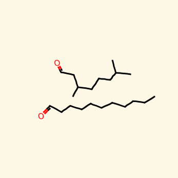 CC(C)CCCC(C)CC=O.CCCCCCCCCCC=O